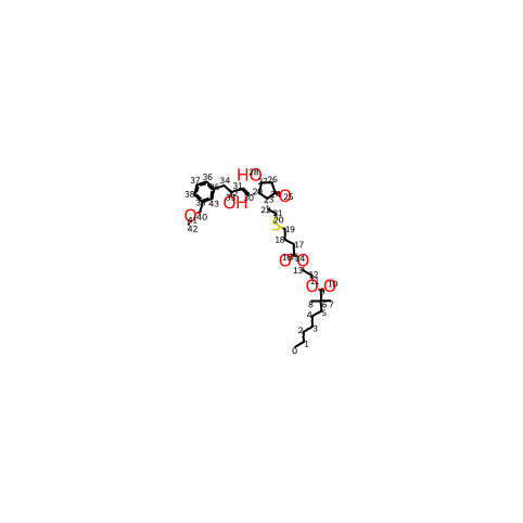 CCCCCCC(C)(C)C(=O)OCCOC(=O)CCCSCC[C@H]1C(=O)C[C@@H](O)[C@H]1/C=C/[C@@H](O)Cc1cccc(COC)c1